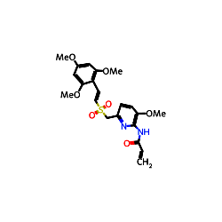 C=CC(=O)Nc1nc(CS(=O)(=O)C=Cc2c(OC)cc(OC)cc2OC)ccc1OC